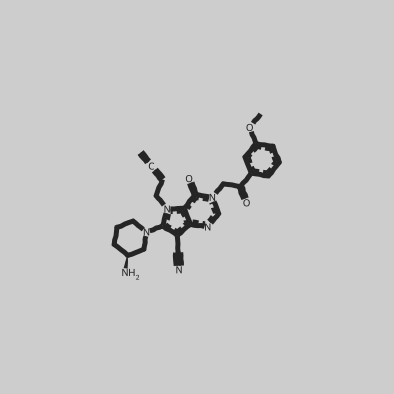 C=C=CCn1c(N2CCC[C@H](N)C2)c(C#N)c2ncn(CC(=O)c3cccc(OC)c3)c(=O)c21